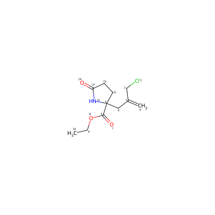 C=C(CCl)CC1(C(=O)OCC)CCC(=O)N1